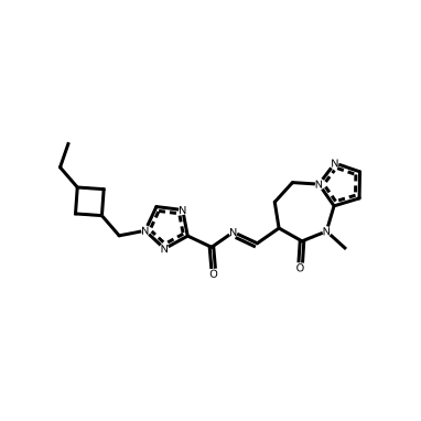 CCC1CC(Cn2cnc(C(=O)/N=C/C3CCn4nccc4N(C)C3=O)n2)C1